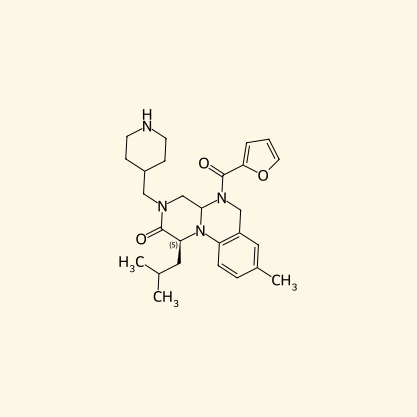 Cc1ccc2c(c1)CN(C(=O)c1ccco1)C1CN(CC3CCNCC3)C(=O)[C@H](CC(C)C)N21